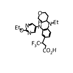 CCOc1ncc(Nc2cc([C@@H](CC(=O)O)C(F)(F)F)ccc2N(CC)C2CCOCC2)cn1